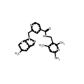 Cc1ccc2c(cnn2Cc2cc(C(=O)NCc3c(C)cc(N)nc3C)ccn2)c1